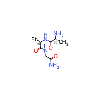 CC[C@@H](NC(=O)[C@@H](C)N)C(=O)NCC(N)=O